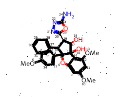 COc1ccc(C23Oc4cc(OC)cc(OC)c4C2(O)[C@H](O)[C@H](c2nnc(N)o2)C3c2ccccc2)cc1